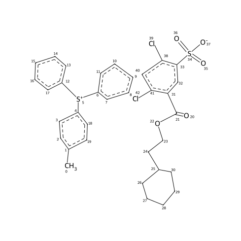 Cc1ccc([S+](c2ccccc2)c2ccccc2)cc1.O=C(OCCC1CCCCC1)c1cc(S(=O)(=O)[O-])c(Cl)cc1Cl